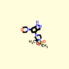 CC1(C)CN(c2cc(N3CCOCC3)cc3[nH]ncc23)CCN1S(C)(=O)=O